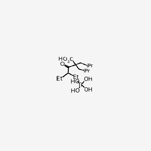 CCC(CC)C(=O)C(CC(C)C)(CC(C)C)C(=O)O.[OH][Ti]([OH])([OH])[OH]